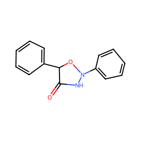 O=C1NN(c2ccccc2)OC1c1ccccc1